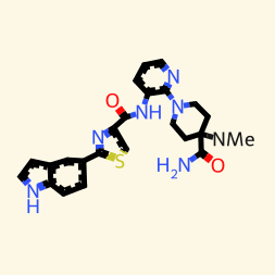 CNC1(C(N)=O)CCN(c2ncccc2NC(=O)c2csc(-c3ccc4[nH]ccc4c3)n2)CC1